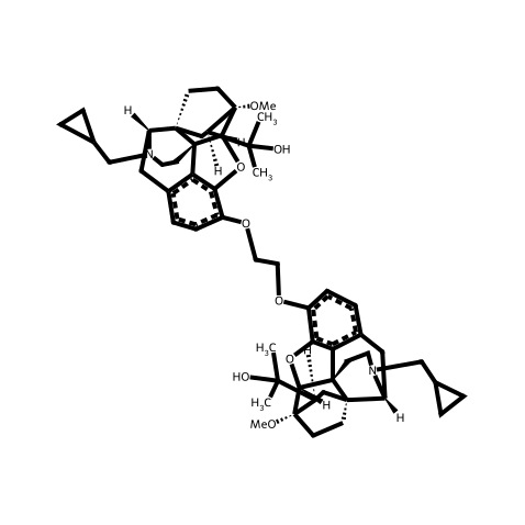 CO[C@@]12CC[C@@]3(C[C@@H]1C(C)(C)O)[C@H]1Cc4ccc(OCCOc5ccc6c7c5O[C@H]5[C@]8(OC)CC[C@@]9(C[C@@H]8C(C)(C)O)[C@@H](C6)N(CC6CC6)CC[C@]759)c5c4[C@@]3(CCN1CC1CC1)[C@H]2O5